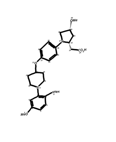 CCCCCCc1ccc(OC)cc1N1CCC(Oc2ccc(N3C[C@H](OC)C[C@@H]3CC(=O)O)cc2)CC1